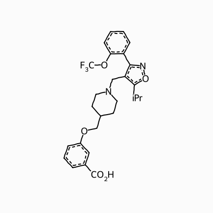 CC(C)c1onc(-c2ccccc2OC(F)(F)F)c1CN1CCC(COc2cccc(C(=O)O)c2)CC1